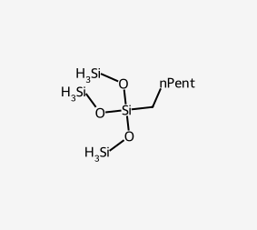 CCCCCC[Si](O[SiH3])(O[SiH3])O[SiH3]